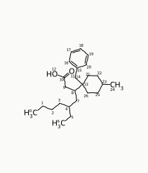 CCCCC(CC)CC(CC(=O)O)C1(Cc2ccccc2)CCC(C)CC1